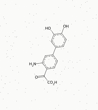 Nc1cc(-c2ccc(O)c(O)c2)ccc1C(=O)C(=O)O